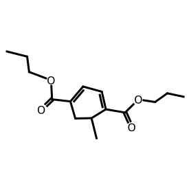 CCCOC(=O)C1=CC=C(C(=O)OCCC)C(C)C1